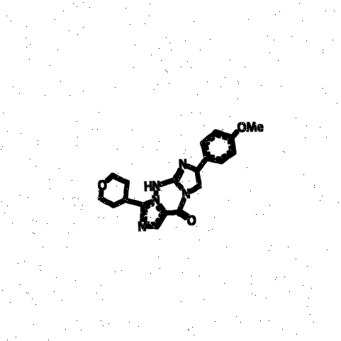 COc1ccc(C2CN3C(=O)c4cnc(C5CCOCC5)n4NC3=N2)cc1